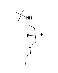 CCCOCC(F)(F)CCNC(C)(C)C